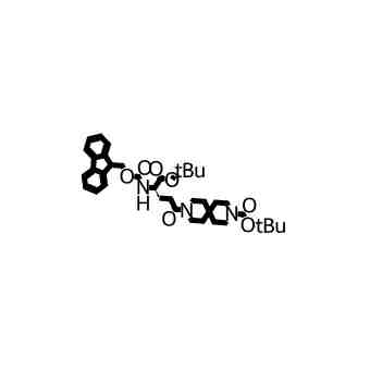 CC(C)(C)OC(=O)[C@H](CCC(=O)N1CCC2(CC1)CCN(C(=O)OC(C)(C)C)CC2)NC(=O)OCC1c2ccccc2-c2ccccc21